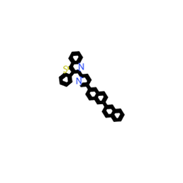 c1ccc2cc(-c3ccc4cc(-c5ccc(-c6nc7ccccc7c7sc8ccccc8c67)nc5)ccc4c3)ccc2c1